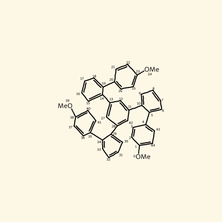 COc1ccc(-c2ccccc2-c2cc(-c3ccccc3-c3ccc(OC)cc3)cc(-c3ccccc3-c3ccc(OC)cc3)c2)cc1